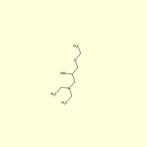 CCOCC(O)CN(CC)CC